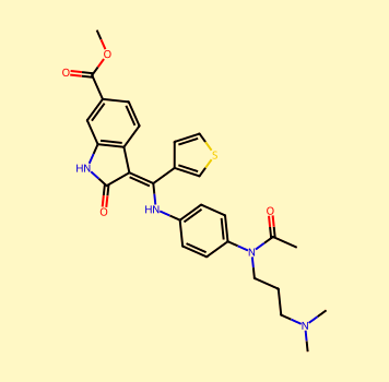 COC(=O)c1ccc2c(c1)NC(=O)/C2=C(\Nc1ccc(N(CCCN(C)C)C(C)=O)cc1)c1ccsc1